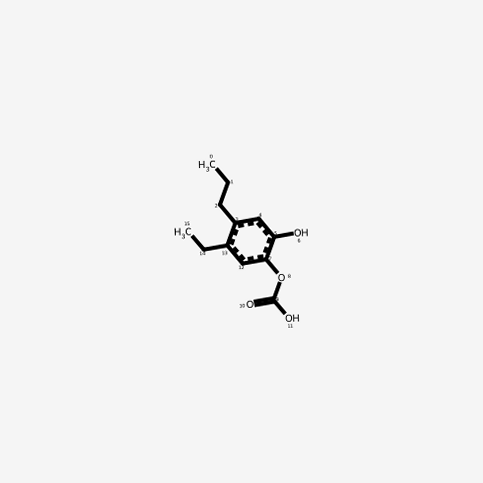 CCCc1cc(O)c(OC(=O)O)cc1CC